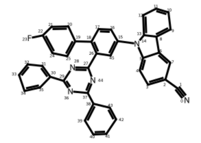 N#Cc1ccc2c(c1)c1ccccc1n2-c1ccc(-c2ccc(F)cc2)c(-c2nc(-c3ccccc3)nc(-c3ccccc3)n2)c1